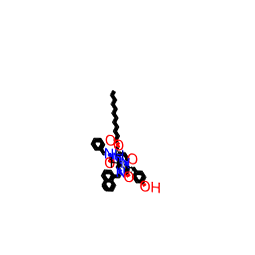 CCCCCCCCCCCC(=O)OC[C@@H]1CC(=O)N2[C@H](CN(Cc3cccc4c#cccc34)C(=O)[C@@H]2Cc2ccc(O)cc2)N1C(=O)NCc1ccccc1